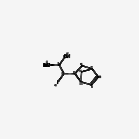 OC(O)C(I)C1CC2C=CC1C2